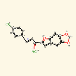 Cl.O=C(/C=C/c1ccc(Cl)cc1)c1cc2cc3c(cc2o1)OCO3